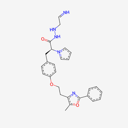 Cc1oc(-c2ccccc2)nc1CCOc1ccc(C[C@@H](C(=O)NNCC=N)n2cccc2)cc1